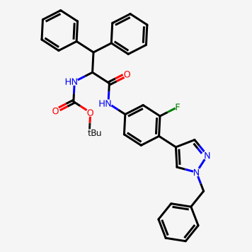 CC(C)(C)OC(=O)NC(C(=O)Nc1ccc(-c2cnn(Cc3ccccc3)c2)c(F)c1)C(c1ccccc1)c1ccccc1